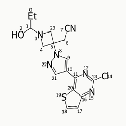 CCC(O)N1CC(CC#N)(n2cc(-c3nc(Cl)nc4ccsc34)cn2)C1